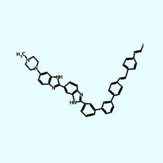 CN1CCN(c2ccc3nc(-c4ccc5nc(-c6cccc(-c7cccc(-c8ccc(/C=C/c9ccc(C=CI)cc9)cc8)c7)c6)[nH]c5c4)[nH]c3c2)CC1